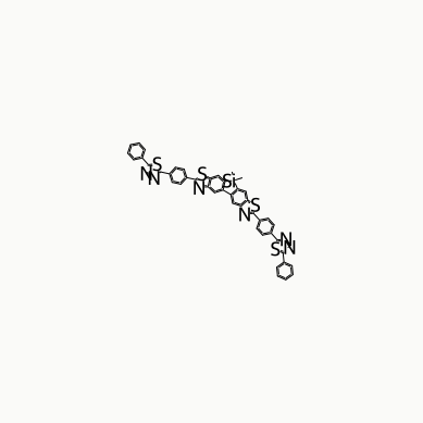 C[Si]1(C)c2cc3sc(-c4ccc(-c5nnc(-c6ccccc6)s5)cc4)nc3cc2-c2cc3nc(-c4ccc(-c5nnc(-c6ccccc6)s5)cc4)sc3cc21